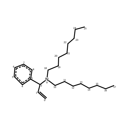 C=CC(c1ccccc1)N(CCCCCCCC)CCCCCCCC